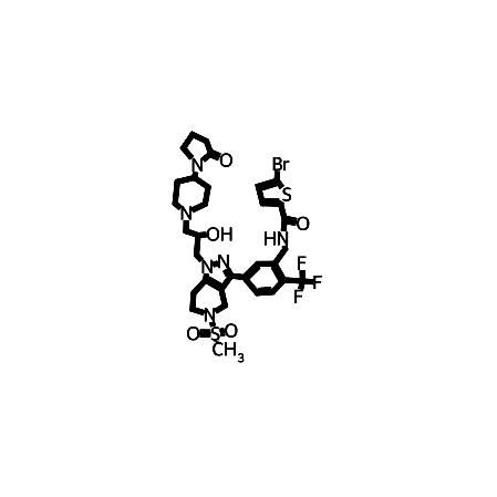 CS(=O)(=O)N1CCc2c(c(-c3ccc(C(F)(F)F)c(CNC(=O)c4ccc(Br)s4)c3)nn2CC(O)CN2CCC(N3CCCC3=O)CC2)C1